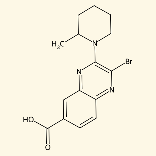 CC1CCCCN1c1nc2cc(C(=O)O)ccc2nc1Br